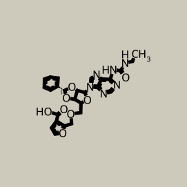 CCNC(=O)Nc1ncnc2c1ncn2C1OC(COCc2occc2C(=O)O)C2O[C@H](c3ccccc3)OC21